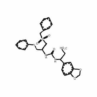 O=C(O)CC(NC(=O)NC(CSc1ccccc1)CS(=O)(=O)Cc1ccccc1)c1ccc2c(c1)OCO2